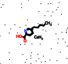 CCCCCc1ccc(C(=O)O)nc1.[CaH2]